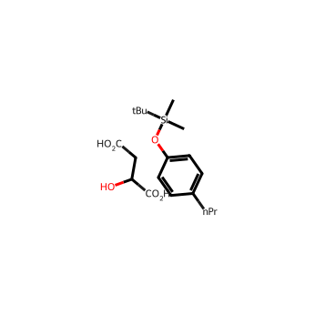 CCCc1ccc(O[Si](C)(C)C(C)(C)C)cc1.O=C(O)CC(O)C(=O)O